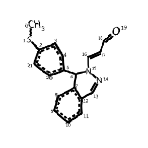 CSc1ccc(C2c3ccccc3C=NN2C=CC=O)cc1